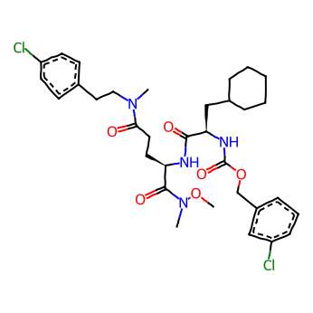 CON(C)C(=O)[C@@H](CCC(=O)N(C)CCc1ccc(Cl)cc1)NC(=O)[C@@H](CC1CCCCC1)NC(=O)OCc1cccc(Cl)c1